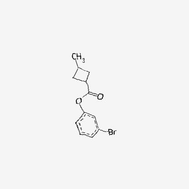 CC1CC(C(=O)Oc2cccc(Br)c2)C1